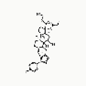 C[C@]12Cc3cnn(-c4ccc(F)cc4)c3C=C1CC[C@@H]1[C@@H]2C(O)C[C@@]2(C)[C@H]1CC[C@@]2(OC(=O)CF)C(=O)SCC#N